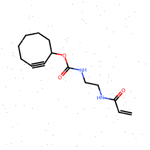 C=CC(=O)NCCNC(=O)OC1C#CCCCCC1